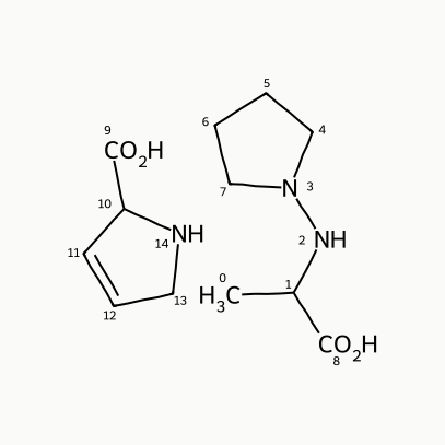 CC(NN1CCCC1)C(=O)O.O=C(O)C1C=CCN1